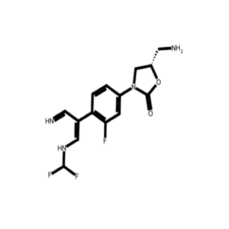 N=C/C(=C\NC(F)F)c1ccc(N2C[C@H](CN)OC2=O)cc1F